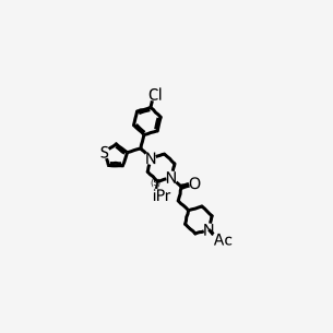 CC(=O)N1CCC(CC(=O)N2CCN(C(c3ccc(Cl)cc3)c3ccsc3)C[C@@H]2C(C)C)CC1